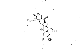 CC[C@H]1C(=O)OCC2C(=O)N3CC4C(CO)C5CC(O)C(F)CC5NC4C3CC21